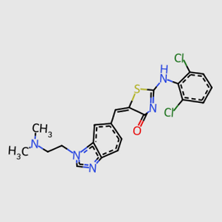 CN(C)CCn1cnc2ccc(C=C3SC(Nc4c(Cl)cccc4Cl)=NC3=O)cc21